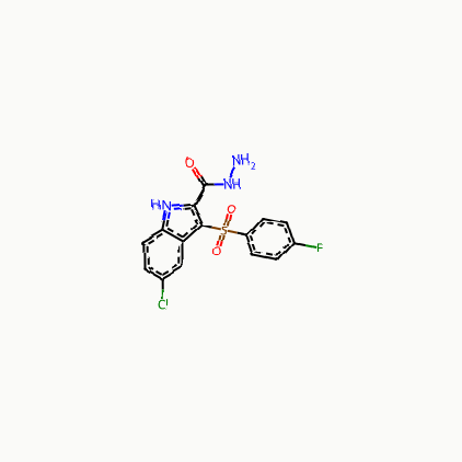 NNC(=O)c1[nH]c2ccc(Cl)cc2c1S(=O)(=O)c1ccc(F)cc1